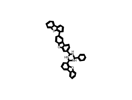 c1ccc(C2NC(c3ccc4c(c3)oc3ccc(-c5cccc6c5sc5ccccc56)cc34)NC(c3cccc4c3oc3ccccc34)N2)cc1